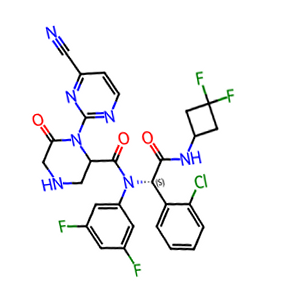 N#Cc1ccnc(N2C(=O)CNCC2C(=O)N(c2cc(F)cc(F)c2)[C@H](C(=O)NC2CC(F)(F)C2)c2ccccc2Cl)n1